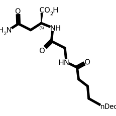 CCCCCCCCCCCCCC(=O)NCC(=O)N[C@@H](CC(N)=O)C(=O)O